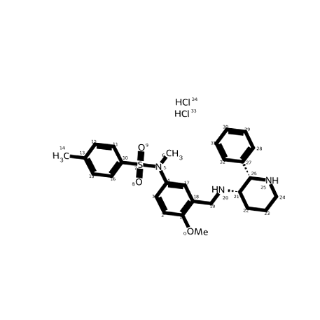 COc1ccc(N(C)S(=O)(=O)c2ccc(C)cc2)cc1CN[C@H]1CCCN[C@H]1c1ccccc1.Cl.Cl